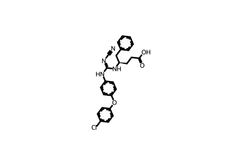 N#C/N=C(/Nc1ccc(Oc2ccc(Cl)cc2)cc1)N[C@H](CCC(=O)O)Cc1ccccc1